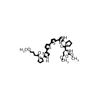 COCC[CH]C(=O)N1CCC[C@H]1c1nc(-c2ccc(-c3ccc(-c4c[nH]c([C@@H]5CCCN5C(=O)[C@H](CCOC)NC(=O)OC)n4)s3)s2)c[nH]1